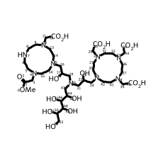 COC(=O)CN1CCNCCN(CC(=O)O)CCN(CC(O)CN(CC(O)CN2CCN(CC(=O)O)CCN(CC(=O)O)CCN(CC(=O)O)CC2)CC(O)C(O)C(O)C(O)CO)CC1